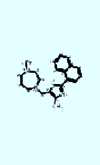 Cc1nc(-c2cccc3ccccc23)sc1CN1CCCN(C(C)C)CC1